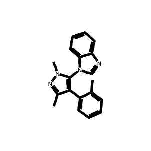 Cc1ccccc1-c1c(C)nn(C)c1-n1cnc2ccccc21